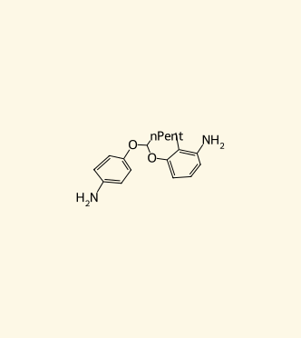 CCCCCC(Oc1ccc(N)cc1)Oc1cccc(N)c1C